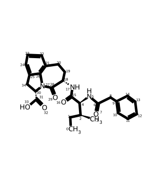 CC[C@H](C)[C@H](NC(=O)Cc1ccccc1)C(=O)N[C@H]1CCc2cccc3c2N(C1=O)[C@H](C(=O)O)C3